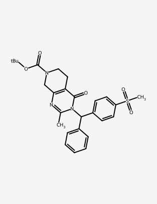 Cc1nc2c(c(=O)n1C(c1ccccc1)c1ccc(S(C)(=O)=O)cc1)CCN(C(=O)OC(C)(C)C)C2